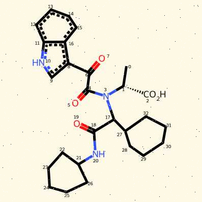 C[C@H](C(=O)O)N(C(=O)C(=O)c1c[nH]c2ccccc12)C(C(=O)NC1CCCCC1)C1CCCCC1